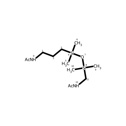 CC(=O)NCCC[Si](C)(C)O[Si](C)(C)CNC(C)=O